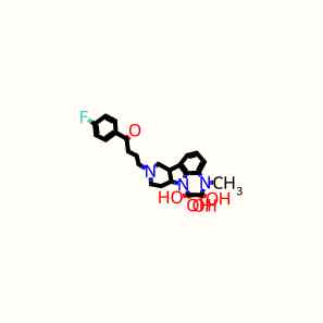 CN1c2cccc3c2N(C2CCN(CCCC(=O)c4ccc(F)cc4)CC32)C(O)(O)C1(O)O